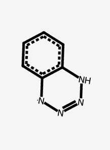 c1ccc2c(c1)[N]N=NN2